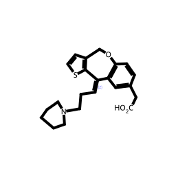 O=C(O)Cc1ccc2c(c1)/C(=C/CCN1CCCCC1)c1sccc1CO2